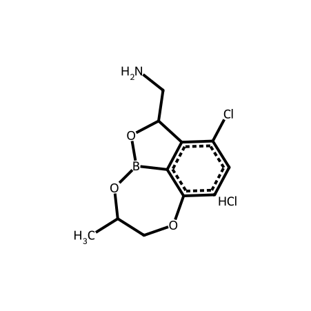 CC1COc2ccc(Cl)c3c2B(O1)OC3CN.Cl